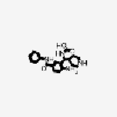 Nc1ccc(C(=O)Nc2ccccc2)cc1C(NC(=O)O)C1CCNCC1